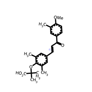 COc1ccc(C(=O)/C=C/c2cc(C)c(OC(C)(C)C(=O)O)c(C)c2)cc1C